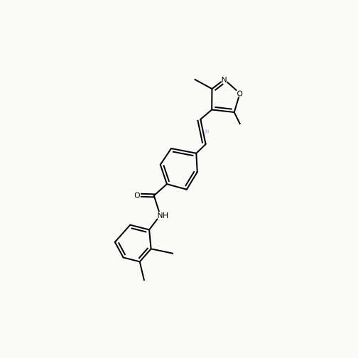 Cc1cccc(NC(=O)c2ccc(/C=C/c3c(C)noc3C)cc2)c1C